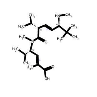 CN[C@H](/C=C/[C@H](C(=O)N(C)[C@H](/C=C(\C)C(=O)O)C(C)C)C(C)C)C(C)(C)C